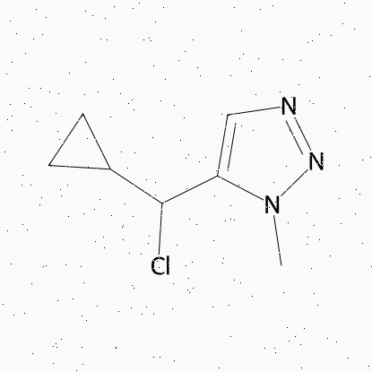 Cn1nncc1C(Cl)C1CC1